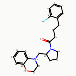 O=C(CCCc1ccccc1F)N1CCCC1CN1CCOc2ccccc21